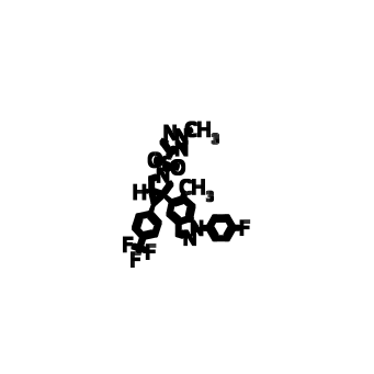 Cc1cc2c(cnn2-c2ccc(F)cc2)cc1[C@]12CN(S(=O)(=O)c3cnn(C)n3)C[C@H]1[C@@H]2c1ccc(C(F)(F)F)cc1